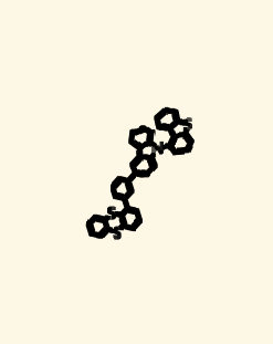 c1cc(-c2ccc3c(c2)c2ccccc2n3-c2cccc3sc4ccccc4c23)cc(-c2cccc3c2Sc2ccccc2S3)c1